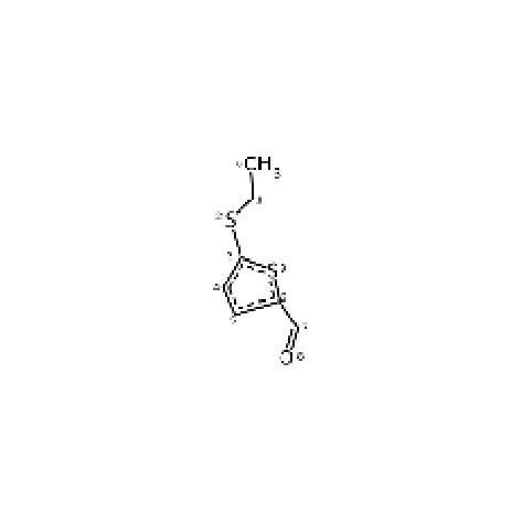 CCSc1ccc(C=O)s1